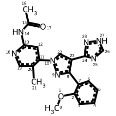 COc1ccccc1-c1nn(-c2cc(NC(C)=O)ncc2C)cc1-c1nc[nH]n1